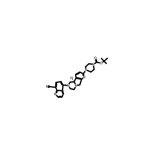 CC(C)(C)OC(=O)N1CCN(c2ccc3c(n2)CN2CCN(c4ccc(C#N)c5ncccc45)C[C@@H]32)CC1